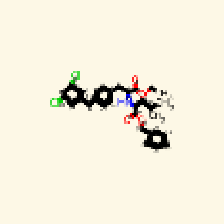 CCOC(=O)C(Cc1ccc(Cc2cc(Cl)cc(Cl)c2)cc1)NC(CC(C)C)C(=O)OCc1ccccc1